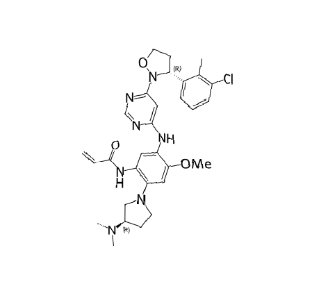 C=CC(=O)Nc1cc(Nc2cc(N3OCC[C@@H]3c3cccc(Cl)c3C)ncn2)c(OC)cc1N1CC[C@@H](N(C)C)C1